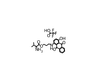 CC(C)[C@H](N)C(=O)OCCCNc1ccc(O)c2c1C(=O)c1ccccc1C2=O.O=C(O)C(F)(F)F